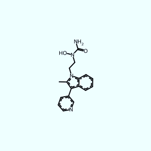 Cc1c(-c2cccnc2)c2ccccc2n1CCN(O)C(N)=O